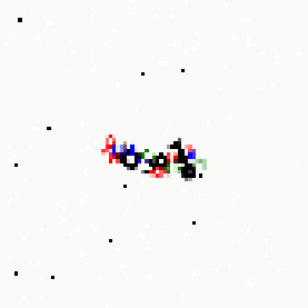 O=C(N[SH](=O)=O)C1CCCC(N2CC(O)(c3ccc(OCc4c(-c5c(Cl)cccc5Cl)noc4C4CC4)cc3Cl)C2)CCC1